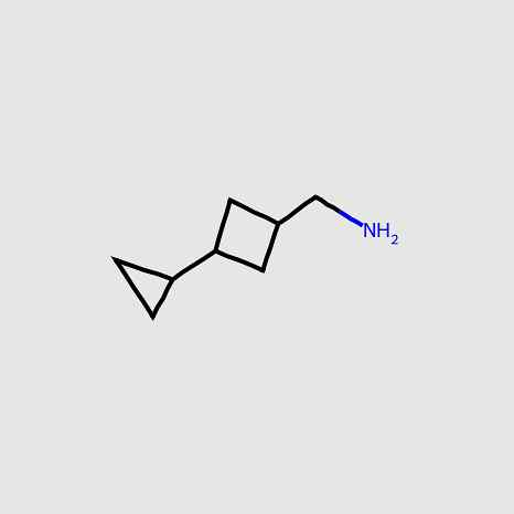 NCC1CC(C2CC2)C1